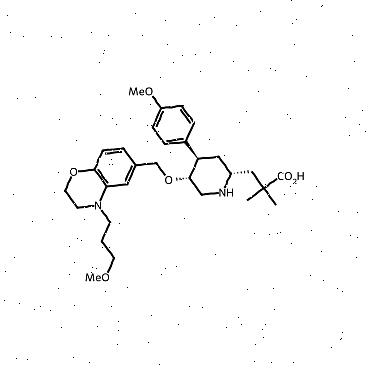 COCCCN1CCOc2ccc(CO[C@H]3CN[C@@H](CC(C)(C)C(=O)O)C[C@@H]3c3ccc(OC)cc3)cc21